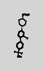 CCCCCCC[C@H]1CC[C@H](c2ccc(-c3ccc(C(F)(F)CCCC)cc3)c(F)c2)CC1